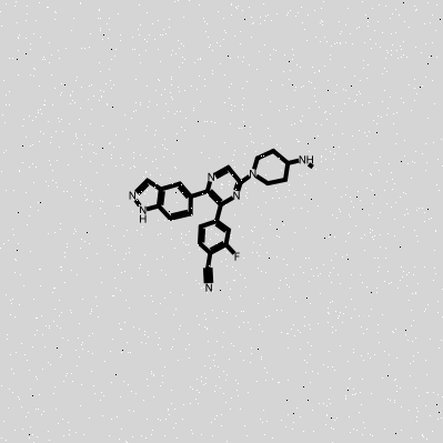 CNC1CCN(c2cnc(-c3ccc4[nH]ncc4c3)c(-c3ccc(C#N)c(F)c3)n2)CC1